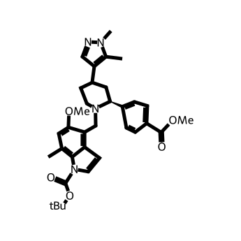 COC(=O)c1ccc([C@@H]2CC(c3cnn(C)c3C)CCN2Cc2c(OC)cc(C)c3c2ccn3C(=O)OC(C)(C)C)cc1